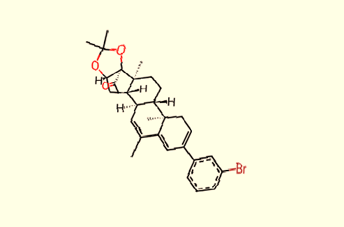 CC(=O)[C@@]12OC(C)(C)O[C@H]1C[C@H]1[C@@H]3C=C(C)C4=CC(c5cccc(Br)c5)=CC[C@]4(C)[C@H]3CC[C@@]12C